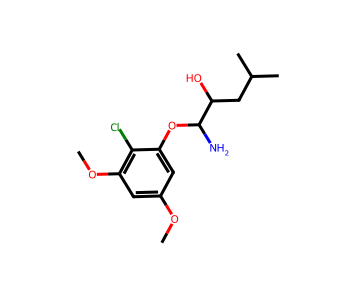 COc1cc(OC)c(Cl)c(OC(N)C(O)CC(C)C)c1